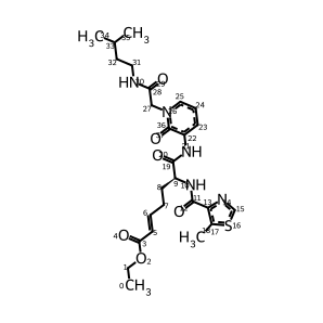 CCOC(=O)/C=C/CC[C@H](NC(=O)c1ncsc1C)C(=O)Nc1cccn(CC(=O)NCCC(C)C)c1=O